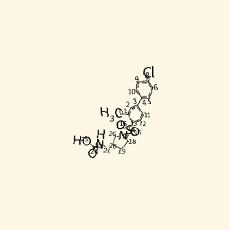 Cc1cc(-c2ccc(Cl)cc2)ccc1S(=O)(=O)N1CC[C@H](CNC(=O)O)C1